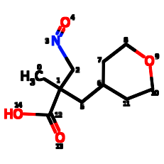 CC(CN=O)(CC1CCOCC1)C(=O)O